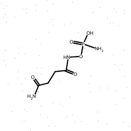 NC(=O)CCC(=O)NOP(N)(=O)O